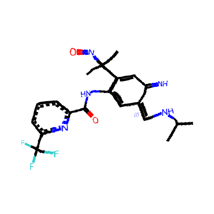 CC(C)N/C=C1/C=C(NC(=O)c2cccc(C(F)(F)F)n2)C(C(C)(C)N=O)=CC1=N